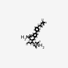 C=C(N)CN(CCC)/C(=C/CC)C1=Cc2ccc(-c3ccc(CC(=C)CC(C)(C)C)cc3)cc2N=C(N)C1